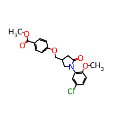 COC(=O)c1ccc(OCC2CC(=O)N(c3cc(Cl)ccc3OC)C2)cc1